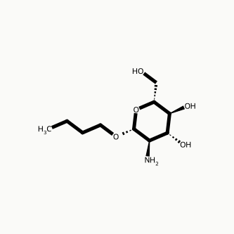 CCCCO[C@@H]1O[C@H](CO)[C@@H](O)[C@H](O)[C@H]1N